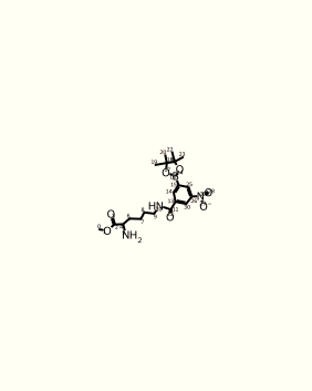 COC(=O)C(N)CCCCNC(=O)c1cc(B2OC(C)(C)C(C)(C)O2)cc([N+](=O)[O-])c1